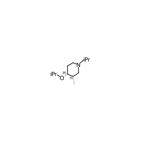 CC(C)O[C@@H]1CCN(C(C)C)C[C@@H]1C